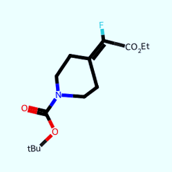 CCOC(=O)C(F)=C1CCN(C(=O)OC(C)(C)C)CC1